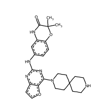 CC1(C)Oc2ccc(Nc3nc(N4CCC5(CCNCC5)CC4)c4occc4n3)cc2NC1=O